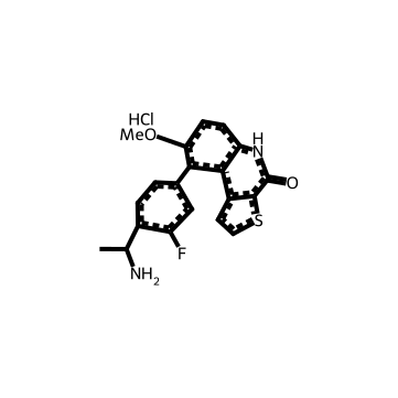 COc1ccc2[nH]c(=O)c3sccc3c2c1-c1ccc(C(C)N)c(F)c1.Cl